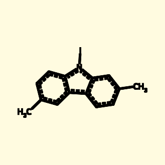 Cc1ccc2c(c1)c1ccc(C)cc1n2I